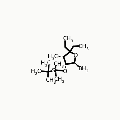 B[C@@H]1OC(CC)(CC)[C@@H](C)[C@H]1O[Si](C)(C)C(C)(C)C